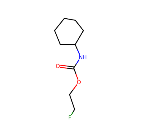 O=C(NC1CCCCC1)OCCF